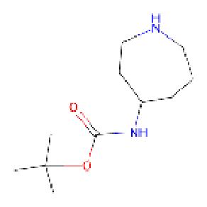 CC(C)(C)OC(=O)NC1CCCNCC1